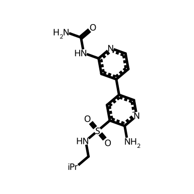 CC(C)CNS(=O)(=O)c1cc(-c2ccnc(NC(N)=O)c2)cnc1N